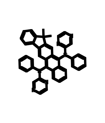 CC1(C)c2ccccc2-c2cc3c(N(c4ccccc4)c4cnccn4)c4ccccc4c(N(c4ccccc4)c4cnccn4)c3cc21